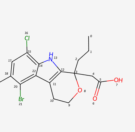 CCCC1(CC(=O)O)OCCc2c1[nH]c1c(Cl)cc(C)c(Br)c21